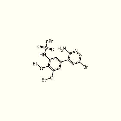 CCCS(=O)(=O)Nc1cc(-c2cc(Br)cnc2N)cc(OCC)c1OCC